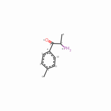 Cc1ccc(C(=O)C(C)P)cc1